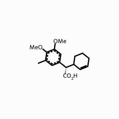 COc1cc([C@@H](C(=O)O)C2C=CCCC2)cc(C)c1OC